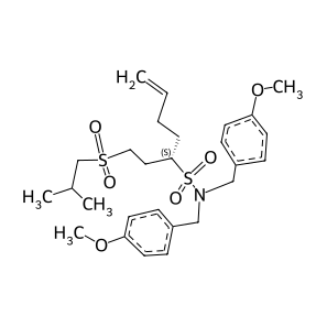 C=CCC[C@@H](CCS(=O)(=O)CC(C)C)S(=O)(=O)N(Cc1ccc(OC)cc1)Cc1ccc(OC)cc1